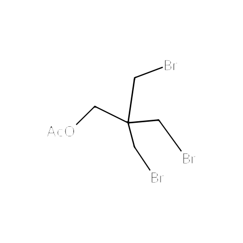 CC(=O)OCC(CBr)(CBr)CBr